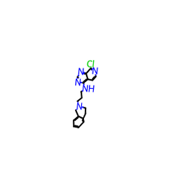 Clc1nccc2c(NCCCN3CCc4ccccc4C3)ncnc12